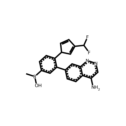 CB(O)c1ccc(C2C=CC(C(F)F)=C2)c(-c2ccc3c(N)cnnc3c2)c1